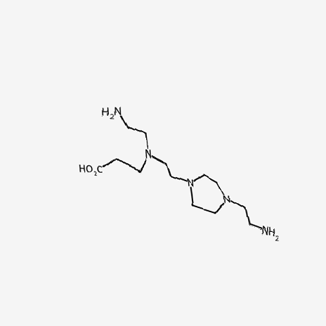 NCCN(CCC(=O)O)CCN1CCN(CCN)CC1